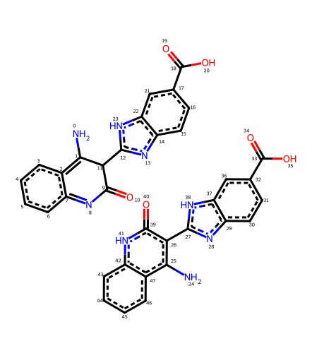 NC1=c2ccccc2=NC(=O)C1c1nc2ccc(C(=O)O)cc2[nH]1.Nc1c(-c2nc3ccc(C(=O)O)cc3[nH]2)c(=O)[nH]c2ccccc12